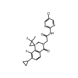 O=C(CN1C[C@]2(CC2(F)F)c2c(ccc(C3CC3)c2F)C1=O)Nc1ncc(Cl)cn1